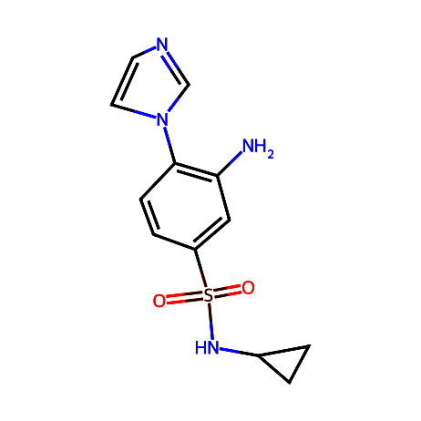 Nc1cc(S(=O)(=O)NC2CC2)ccc1-n1ccnc1